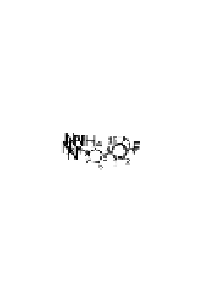 Fc1ccc(C2CCC(c3nnn[nH]3)C2)cc1